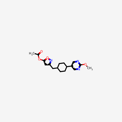 COc1ncc(C2CCC(Cc3cc(OC(C)=O)on3)CC2)cn1